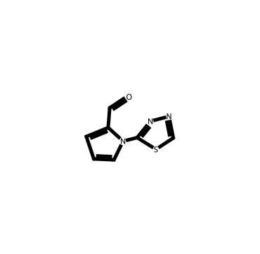 O=Cc1cccn1-c1nncs1